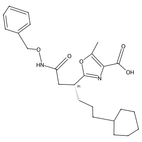 Cc1oc([C@H](CCCC2CCCCC2)CC(=O)NOCc2ccccc2)nc1C(=O)O